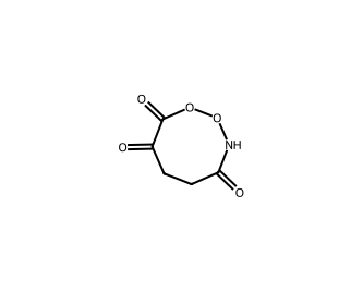 O=C1CCC(=O)C(=O)OON1